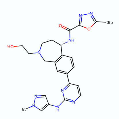 CCn1cc(Nc2nccc(-c3ccc4c(c3)CN(CCO)CC[C@@H]4NC(=O)c3nnc(C(C)(C)C)o3)n2)cn1